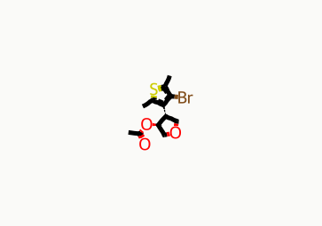 CC(=O)O[C@@H]1COC[C@H]1c1c(C)sc(C)c1Br